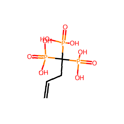 C=CCC(P(=O)(O)O)(P(=O)(O)O)P(=O)(O)O